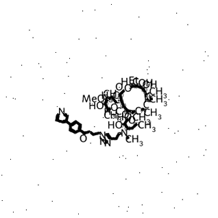 CC[C@H]1OC(=O)[C@H](C)[C@@H](C2C[C@@](C)(OC)[C@@H](O)[C@H](C)O2)[C@H](C)[C@@H](O[C@@H]2O[C@H](C)C[C@H](N(C)CCc3cn(CCCC(=O)c4ccc(-c5cccnc5)cc4)nn3)[C@H]2O)[C@](C)(O)C[C@@H](C)CN(C)[C@H](C)[C@@H](O)[C@]1(C)O